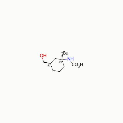 CC(C)(C)[C@@]1(NC(=O)O)CCC[C@@H](CO)C1